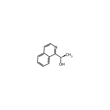 C[C@@H](O)c1nc[c]c2ccccc12